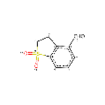 O=Cc1cccc2c1CCS2(=O)=O